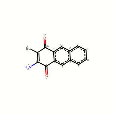 CCC1=C(N)C(=O)c2cc3ccccc3cc2C1=O